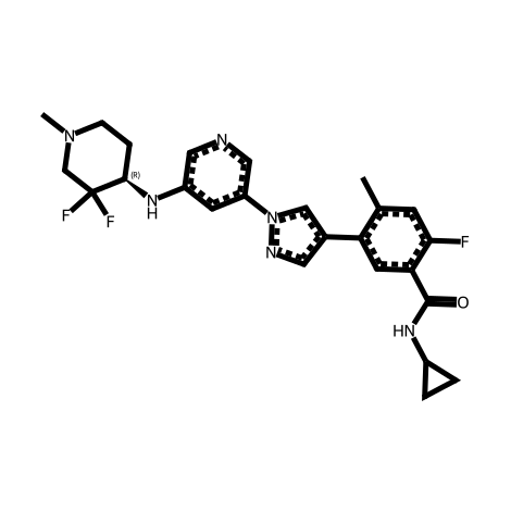 Cc1cc(F)c(C(=O)NC2CC2)cc1-c1cnn(-c2cncc(N[C@@H]3CCN(C)CC3(F)F)c2)c1